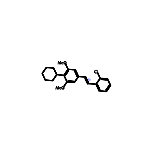 COc1cc(/C=C/c2ccccc2Cl)cc(OC)c1C1CCCCC1